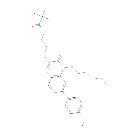 CCCOCCn1c(=O)c(NCCNC(=O)C(C)(C)C)nc2cnc(-c3ccc(OC)nc3)cc21